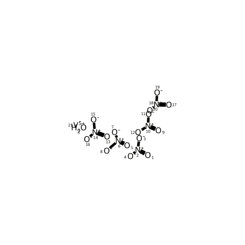 O.O=[N+]([O-])[O-].O=[N+]([O-])[O-].O=[N+]([O-])[O-].O=[N+]([O-])[O-].O=[N+]([O-])[O-].[V+5]